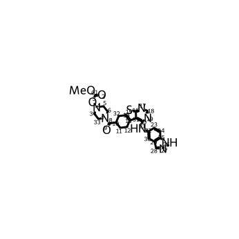 COC(=O)ON1CCN(C(=O)C2CCc3c(sc4ncnc(Nc5ccc6[nH]ncc6c5)c34)C2)CC1